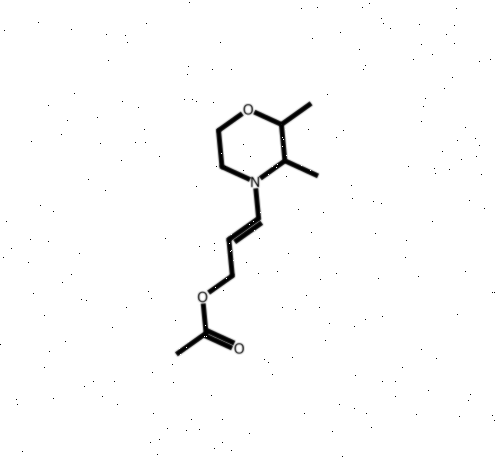 CC(=O)OCC=CN1CCOC(C)C1C